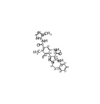 Cc1c(C(=O)Nc2ncnn2C)ccc(-c2nn3c(c2C(N)=O)Nc2ccccc2CC3)c1F